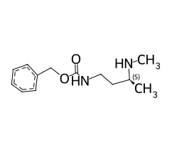 CN[C@@H](C)CCNC(=O)OCc1ccccc1